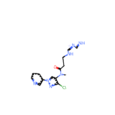 CN(C(=O)CCN/C=N\C=N)c1cn(-c2cccnc2)nc1Cl